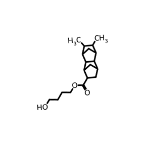 CC1C(C)C2CC1C1C3CC(C(=O)OCCCCO)C(C3)C21